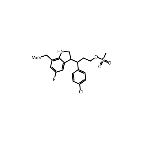 CSCc1cc(F)cc2c1NCC2C(CCOS(C)(=O)=O)c1ccc(Cl)cc1